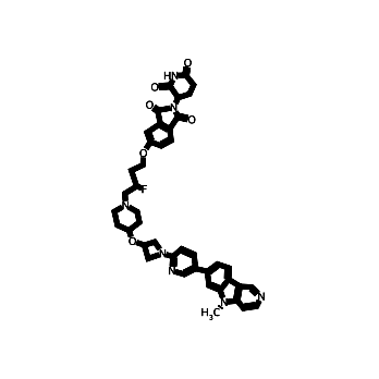 Cn1c2ccncc2c2ccc(-c3ccc(N4CC(OC5CCN(CC(F)CCOc6ccc7c(c6)C(=O)N(C6CCC(=O)NC6=O)C7=O)CC5)C4)nc3)cc21